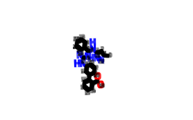 Cc1cc(Nc2nc(NC3=CC4c5ccccc5C(=O)OC4C=C3)nc3ccccc23)[nH]n1